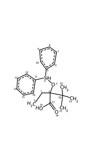 CCC(O[SiH](c1ccccc1)c1ccccc1)(C(=O)O)C(C)(C)C